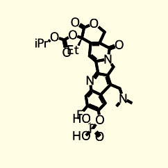 CC[C@@]1(OC(=O)OC(C)C)C(=O)OCc2c1cc1n(c2=O)Cc2c-1nc1cc(F)c(OP(=O)(O)O)cc1c2CN(C)C